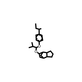 CCC(C)c1ccc(OC(OC2CC3CC2C2CCCC32)C(C)C)cc1